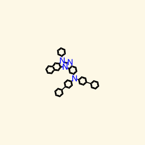 c1ccc(-c2ccc(N(c3ccc(-c4ccccc4)cc3)c3ccc4nc5n(-c6ccccc6)c6cc7ccccc7cc6n5c4c3)cc2)cc1